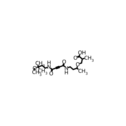 COC(C)(C)CCNC(=O)C#CC(=O)NCCC(C)OCC(C)C(=O)O